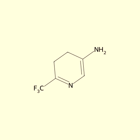 NC1=CN=C(C(F)(F)F)CC1